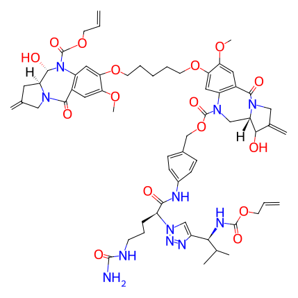 C=CCOC(=O)N[C@H](c1cn([C@@H](CCCNC(N)=O)C(=O)Nc2ccc(COC(=O)N3C[C@H]4C(O)C(=C)CN4C(=O)c4cc(OC)c(OCCCCCOc5cc6c(cc5OC)C(=O)N5CC(=C)C[C@H]5[C@H](O)N6C(=O)OCC=C)cc43)cc2)nn1)C(C)C